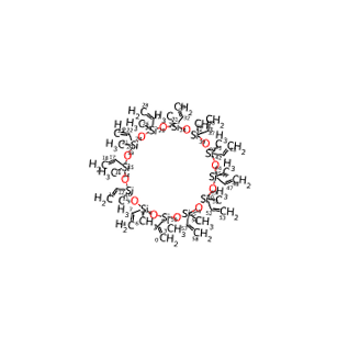 C=C[Si]1(C)O[Si](C)(C=C)O[Si](C)(C=C)O[Si](C)(C=C)O[Si](C)(C=C)O[Si](C)(C=C)O[Si](C)(C=C)O[Si](C)(C=C)O[Si](C)(C=C)O[Si](C)(C=C)O[Si](C)(C=C)O[Si](C)(C=C)O1